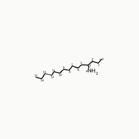 [CH2]CCC(N)CCCCCCCCCCC